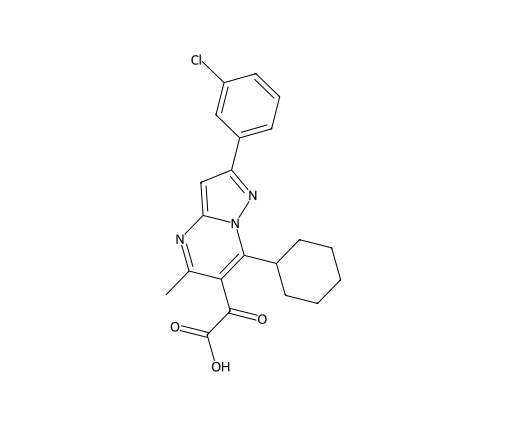 Cc1nc2cc(-c3cccc(Cl)c3)nn2c(C2CCCCC2)c1C(=O)C(=O)O